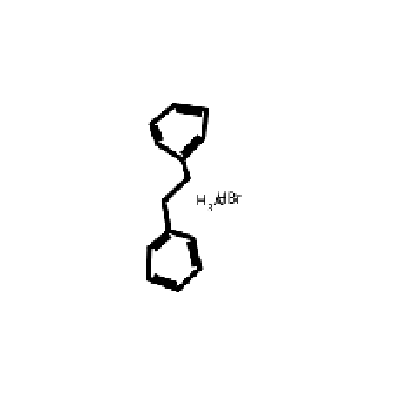 Br.[AlH3].c1ccc(CCc2ccccc2)cc1